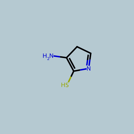 NC1=C(S)N=CC1